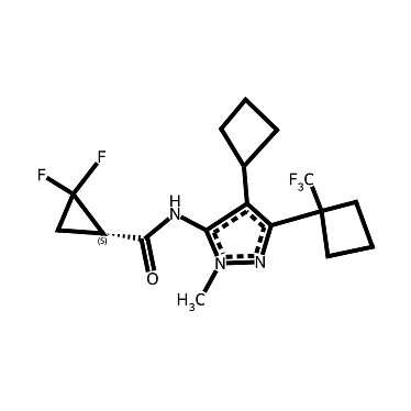 Cn1nc(C2(C(F)(F)F)CCC2)c(C2CCC2)c1NC(=O)[C@@H]1CC1(F)F